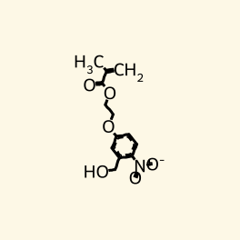 C=C(C)C(=O)OCCOc1ccc([N+](=O)[O-])c(CO)c1